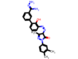 CC1=NN(c2ccc(C)c(C)c2)C(=O)C1/N=N\c1cccc(-c2cccc(/C(N)=N/N)c2)c1O